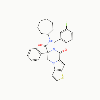 O=C1c2cc3sccc3n2CC(C(=O)NC2CCCCCC2)(c2ccccc2)N1Cc1cccc(F)c1